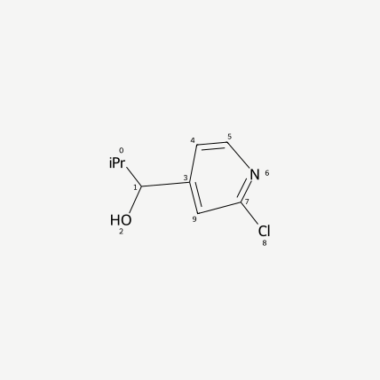 CC(C)C(O)c1ccnc(Cl)c1